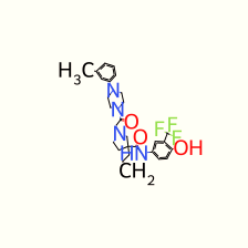 C=CCC1(C(=O)Nc2ccc(O)c(C(F)(F)F)c2)CCN(CC(=O)N2CCN(c3cccc(C)c3)CC2)C1